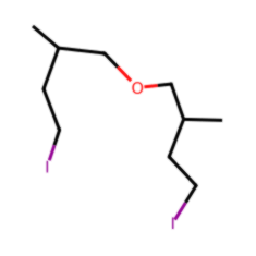 CC(CCI)COCC(C)CCI